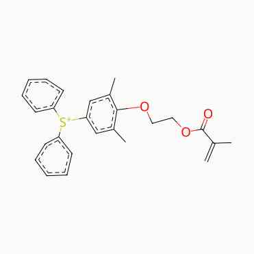 C=C(C)C(=O)OCCOc1c(C)cc([S+](c2ccccc2)c2ccccc2)cc1C